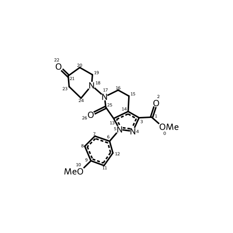 COC(=O)c1nn(-c2ccc(OC)cc2)c2c1CCN(N1CCC(=O)CC1)C2=O